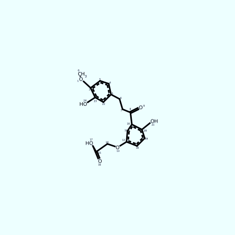 COc1ccc(CCC(=O)c2cc(OCC(=O)O)ccc2O)cc1O